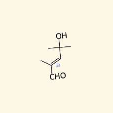 C/C(C=O)=C\C(C)(C)O